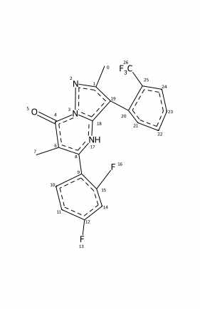 Cc1nn2c(=O)c(C)c(-c3ccc(F)cc3F)[nH]c2c1-c1ccccc1C(F)(F)F